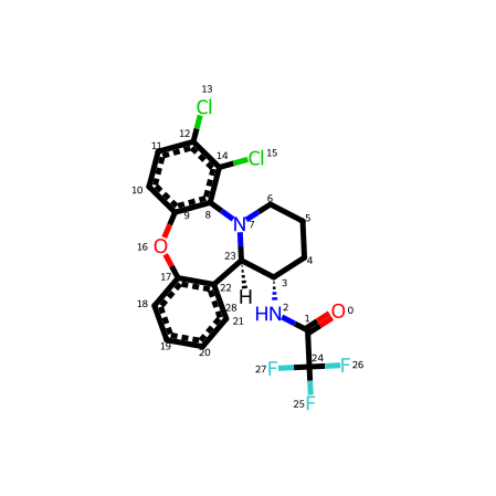 O=C(N[C@H]1CCCN2c3c(ccc(Cl)c3Cl)Oc3ccccc3[C@H]12)C(F)(F)F